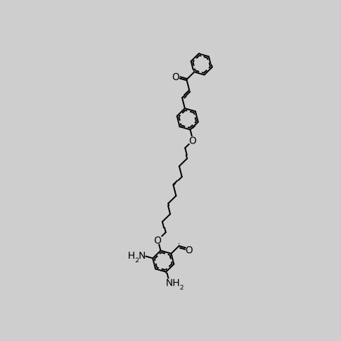 Nc1cc(N)c(OCCCCCCCCCCOc2ccc(C=CC(=O)c3ccccc3)cc2)c([C]=O)c1